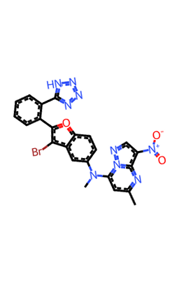 Cc1cc(N(C)c2ccc3oc(-c4ccccc4-c4nnn[nH]4)c(Br)c3c2)n2ncc([N+](=O)[O-])c2n1